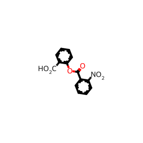 O=C(O)c1ccccc1OC(=O)c1ccccc1[N+](=O)[O-]